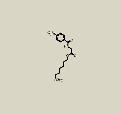 CCCCCCCCCCCCCCCCOC(=O)CNC(=O)c1ccc([N+](=O)[O-])cc1